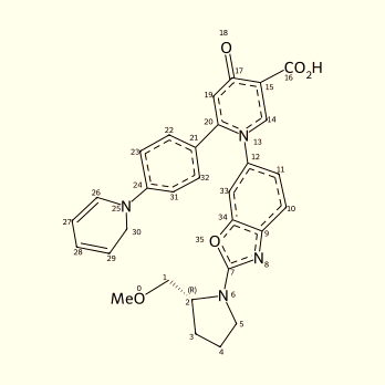 COC[C@H]1CCCN1c1nc2ccc(-n3cc(C(=O)O)c(=O)cc3-c3ccc(N4C=CC=CC4)cc3)cc2o1